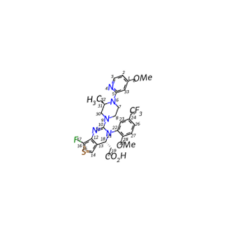 COc1ccnc(N2CCN(C3=Nc4c(csc4F)[C@@H](CC(=O)O)N3c3cc(C(F)(F)F)ccc3OC)C[C@H]2C)c1